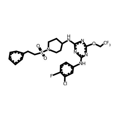 O=S(=O)(CCc1ccccc1)N1CCC(Nc2nc(Nc3ccc(F)c(Cl)c3)nc(OCC(F)(F)F)n2)CC1